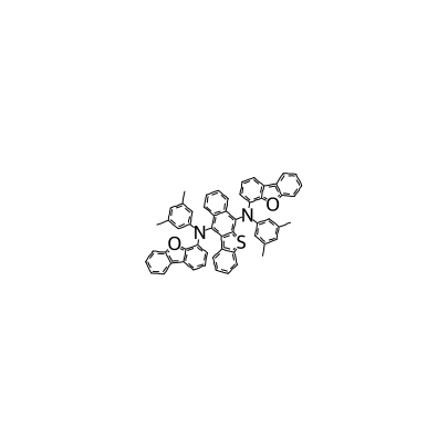 Cc1cc(C)cc(N(c2cccc3c2oc2ccccc23)c2c3ccccc3c(N(c3cc(C)cc(C)c3)c3cccc4c3oc3ccccc34)c3c2sc2ccccc23)c1